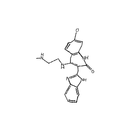 CNCCNc1c(-c2nc3ccccc3[nH]2)c(=O)[nH]c2cc(Cl)ccc12